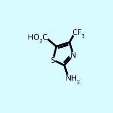 Nc1nc(C(F)(F)F)c(C(=O)O)s1